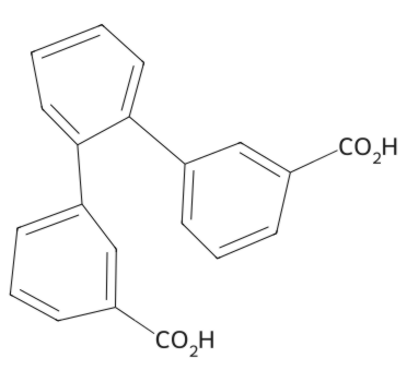 O=C(O)c1cccc(-c2ccccc2-c2cccc(C(=O)O)c2)c1